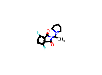 CC(N1CCCCC1)N1C(=O)c2c(F)ccc(F)c2C1=O